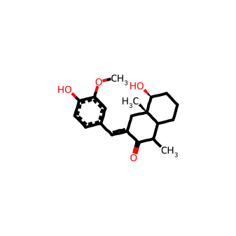 COc1cc(/C=C2\C[C@@]3(C)C(CCC[C@@H]3O)C(C)C2=O)ccc1O